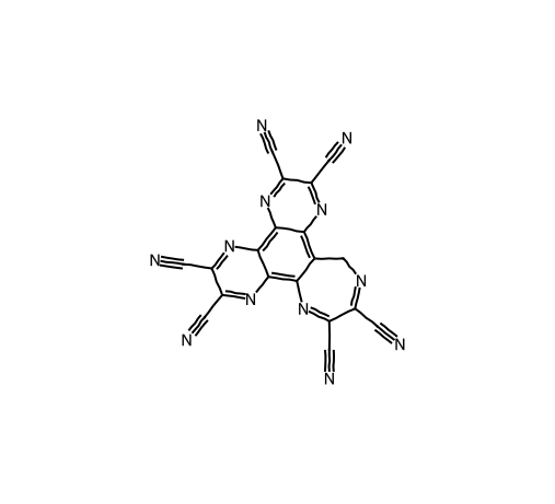 N#CC1=NCc2c(c3nc(C#N)c(C#N)nc3c3nc(C#N)c(C#N)nc23)N=C1C#N